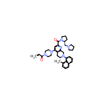 C=CC(=O)N1CCN(c2cc(C(=O)N3CCC[C@H]3CN3CCCC3)nc3c2CCN(c2cccc4cccc(C)c24)C3)CC1